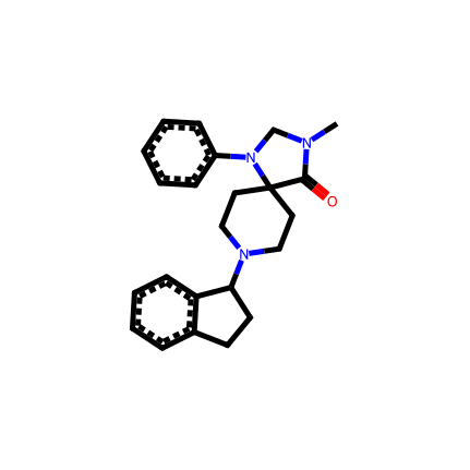 CN1CN(c2ccccc2)C2(CCN(C3CCc4ccccc43)CC2)C1=O